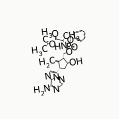 C=C1[C@@H](c2cnc3c(N)ncnn23)C[C@H](O)[C@H]1COP(=O)(NC(C)C(=O)OC(C)C)Oc1ccccc1